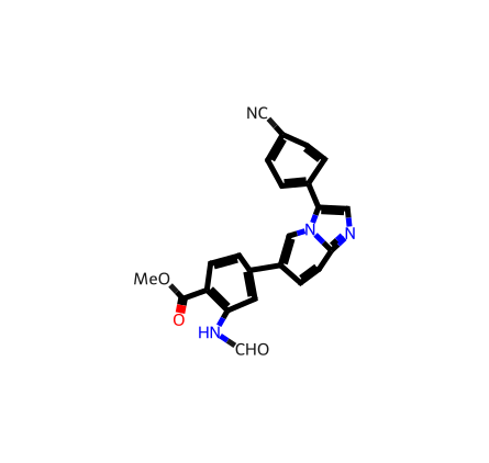 COC(=O)c1ccc(-c2ccc3ncc(-c4ccc(C#N)cc4)n3c2)cc1NC=O